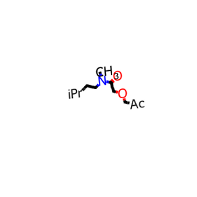 CC(=O)COCC(=O)N(C)CCC(C)C